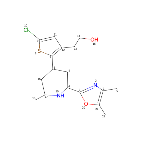 Cc1nc(C2CC(c3sc(Cl)cc3CCO)CC(C)N2)oc1C